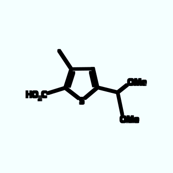 COC(OC)c1cc(C)c(C(=O)O)s1